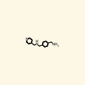 NCc1ccc(CNCc2ccncc2)cc1